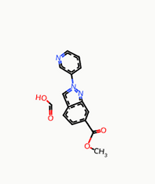 COC(=O)c1ccc2cn(-c3cccnc3)nc2c1.O=CO